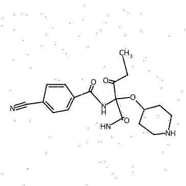 CCC(=O)C(NC(=O)c1ccc(C#N)cc1)(OC1CCNCC1)C([NH])=O